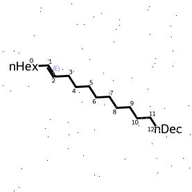 CCCCCC/C=C/CCCCCCCCCCCCCCCCCCC